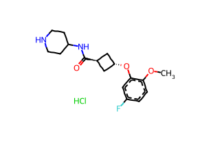 COc1ccc(F)cc1O[C@H]1C[C@H](C(=O)NC2CCNCC2)C1.Cl